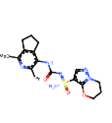 COc1nc(C(C)C)c(NC(=O)N=[S@](N)(=O)c2cnn3c2OCCC3)c2c1CCC2